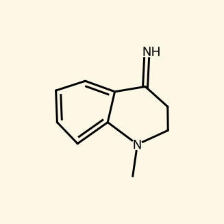 CN1CCC(=N)c2ccccc21